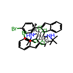 CC1=Cc2cccc(Br)c2[CH]1[Zr]([Cl])([Cl])([NH]C(C)(C)C)([SiH](C)C)[Zr]([Cl])([Cl])([NH]C(C)(C)C)([CH]1C(c2ccc(Br)cc2)=Cc2ccccc21)[SiH](C)C